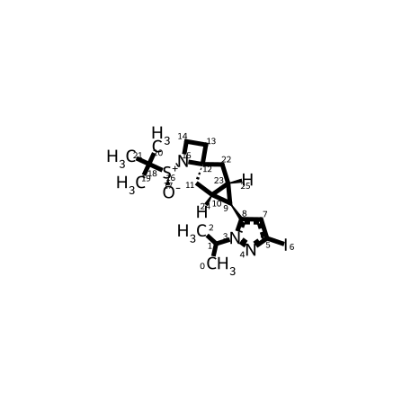 CC(C)n1nc(I)cc1[C@H]1[C@@H]2C[C@]3(CCN3[S@@+]([O-])C(C)(C)C)C[C@@H]21